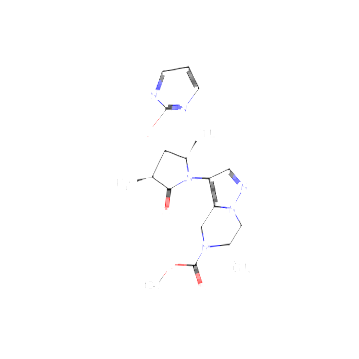 C[C@@H]1C(=O)N(c2cnn3c2CN(C(=O)OC(C)(C)C)[C@@H](C)C3)[C@H](C)[C@H]1Oc1ncccn1